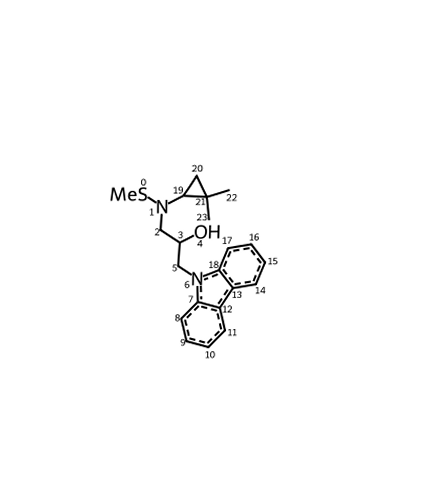 CSN(CC(O)Cn1c2ccccc2c2ccccc21)C1CC1(C)C